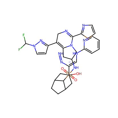 N=N/C(=C\Nc1ccccn1)C1(O)CC2CCC(C1)C2S(=O)(=O)NC1CC2=C(c3ccn(C(F)F)n3)CN=C(c3nccs3)N2C1